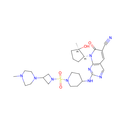 CN1CCN(C2CN(S(=O)(=O)N3CCC(Nc4ncc5cc(C#N)c(=O)n([C@@H]6CCC[C@@]6(C)O)c5n4)CC3)C2)CC1